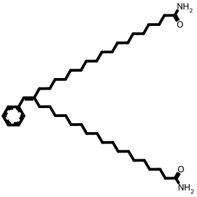 NC(=O)CCCCCCCCCCCCCCCCCC(=Cc1ccccc1)CCCCCCCCCCCCCCCCCC(N)=O